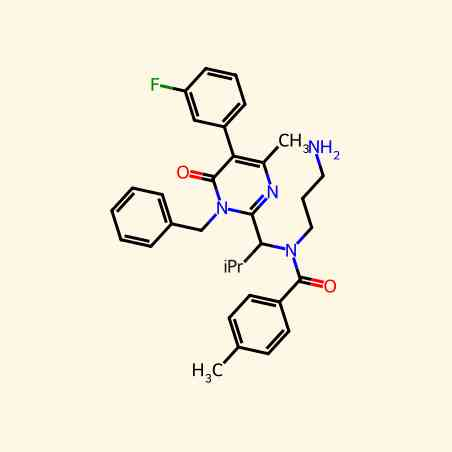 Cc1ccc(C(=O)N(CCCN)C(c2nc(C)c(-c3cccc(F)c3)c(=O)n2Cc2ccccc2)C(C)C)cc1